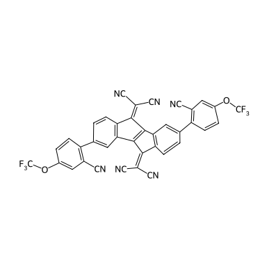 N#CC(C#N)=C1C2=C(C(=C(C#N)C#N)c3ccc(-c4ccc(OC(F)(F)F)cc4C#N)cc32)c2cc(-c3ccc(OC(F)(F)F)cc3C#N)ccc21